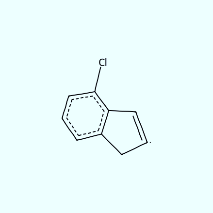 Clc1cccc2c1C=[C]C2